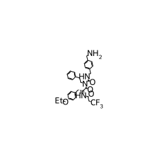 CCOc1ccc(C[C@@H](NC(=O)CC(F)(F)F)C(=O)N(CCc2ccccc2)C(=O)NCc2ccc(CN)cc2)cc1